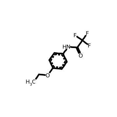 CCOc1ccc(NC(=O)C(F)(F)F)cc1